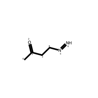 CC(=O)CCN=N